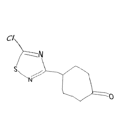 O=C1CCC(c2nsc(Cl)n2)CC1